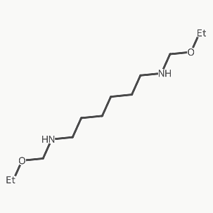 CCOCNCCCCCCNCOCC